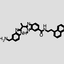 CC(c1nc2cc(CN)ccc2[nH]1)c1nc2ccc(C(=O)NCCc3cccc4ccccc34)cc2n1C